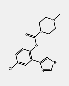 CN1CCN(C(=O)Oc2ccc(Cl)cc2-c2c[nH]cn2)CC1